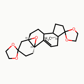 C[C@]12CC=C3C(CC[C@]45CC6(CC[C@]34O5)OCCO6)C1CCC21OCCO1